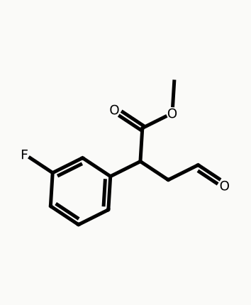 COC(=O)C(CC=O)c1cccc(F)c1